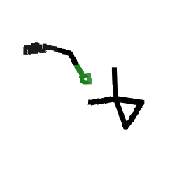 CC1(C)CC1.CCCCCCl